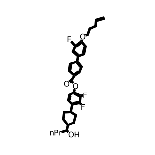 C=CCCCOc1ccc(-c2ccc(C(=O)Oc3ccc(C4CCC(C(O)CCC)CC4)c(F)c3F)cc2)cc1F